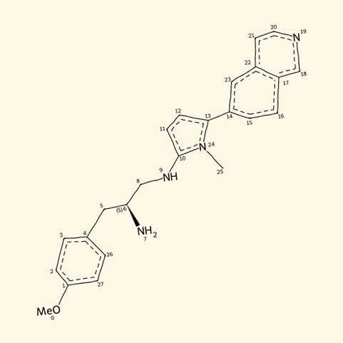 COc1ccc(C[C@H](N)CNc2ccc(-c3ccc4cnccc4c3)n2C)cc1